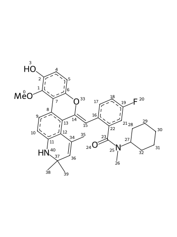 COc1c(O)ccc2c1-c1ccc3c(c1/C(=C/c1ccc(F)cc1C(=O)N(C)C1CCCCC1)O2)C(C)=CC(C)(C)N3